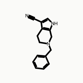 N#Cc1c[nH]c2c1CCN(Cc1ccccc1)C2